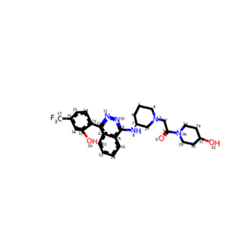 O=C(CN1CCC[C@@H](Nc2nnc(-c3ccc(C(F)(F)F)cc3O)c3ccccc23)C1)N1CCC(O)CC1